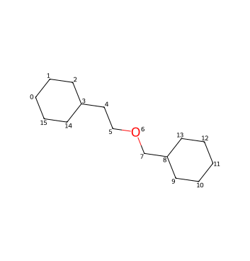 C1CCC(CCOCC2CCCCC2)CC1